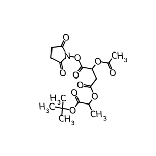 CC(=O)OC(CC(=O)OC(C)C(=O)OC(C)(C)C)C(=O)ON1C(=O)CCC1=O